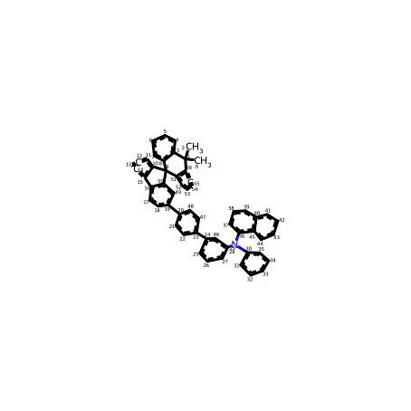 CC1(C)c2ccccc2C2(c3ccccc3-c3ccc(-c4ccc(-c5cccc(N(c6ccccc6)c6cccc7ccccc67)c5)cc4)cc32)c2ccccc21